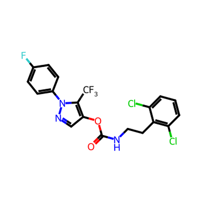 O=C(NCCc1c(Cl)cccc1Cl)Oc1cnn(-c2ccc(F)cc2)c1C(F)(F)F